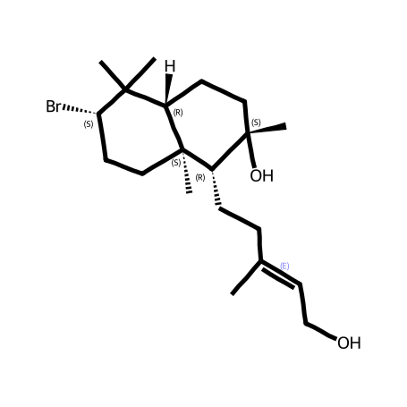 C/C(=C\CO)CC[C@@H]1[C@@]2(C)CC[C@H](Br)C(C)(C)[C@@H]2CC[C@]1(C)O